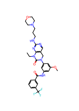 CCN1C(=O)N(c2cc(NC(=O)c3cccc(C(F)(F)F)c3)cc(OC)c2)Cc2cnc(NCCCN3CCOCC3)nc21